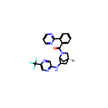 O=C(c1ccccc1-c1ncccn1)N1C[C@H]2CC(Nc3cnc(C(F)(F)F)cn3)C1C2